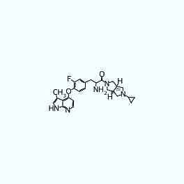 Cc1c[nH]c2nccc(Oc3ccc(CC(N)C(=O)N4C[C@@H]5CN(C6CC6)C[C@@H]5C4)cc3F)c12